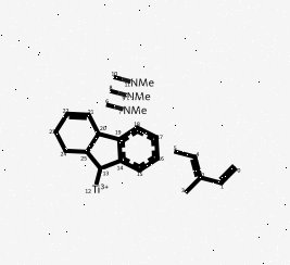 C=CC(C)=CC.C[N-]C.C[N-]C.C[N-]C.[Ti+3][CH]1c2ccccc2C2C=CCCC12